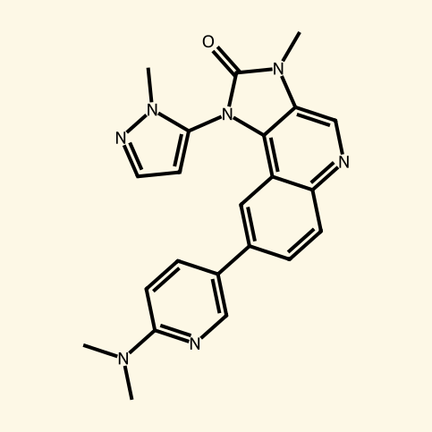 CN(C)c1ccc(-c2ccc3ncc4c(c3c2)n(-c2ccnn2C)c(=O)n4C)cn1